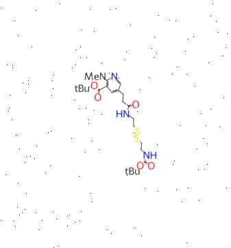 CNc1ncc(CCC(=O)NCCSSCCNC(=O)OC(C)(C)C)cc1C(=O)OC(C)(C)C